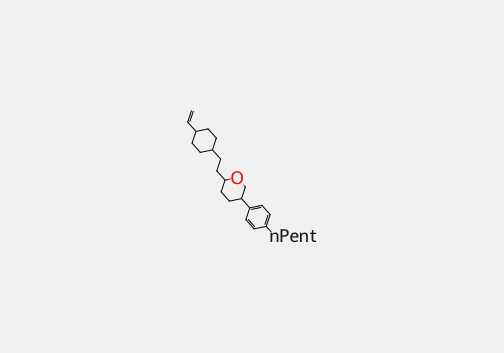 C=CC1CCC(CCC2CCC(c3ccc(CCCCC)cc3)CO2)CC1